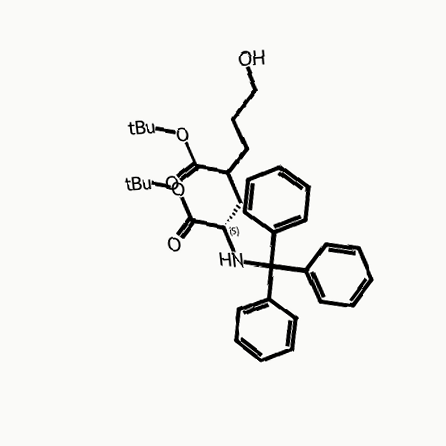 CC(C)(C)OC(=O)C(CCCO)C[C@H](NC(c1ccccc1)(c1ccccc1)c1ccccc1)C(=O)OC(C)(C)C